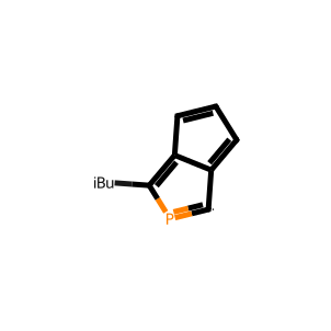 CCC(C)C1=C2C=CC=C2[C]=P1